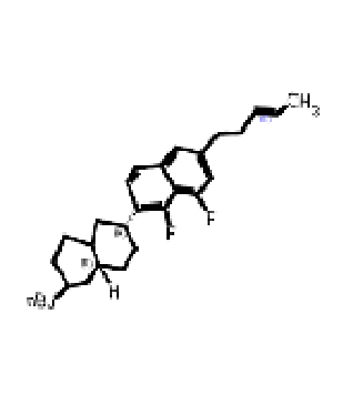 C/C=C/CCc1cc(F)c2c(F)c([C@@H]3CC[C@@H]4CC(CCCC)CCC4C3)ccc2c1